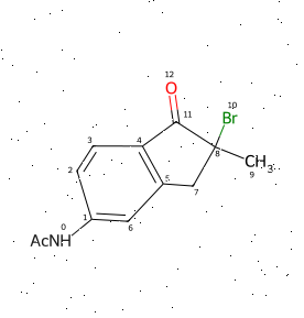 CC(=O)Nc1ccc2c(c1)CC(C)(Br)C2=O